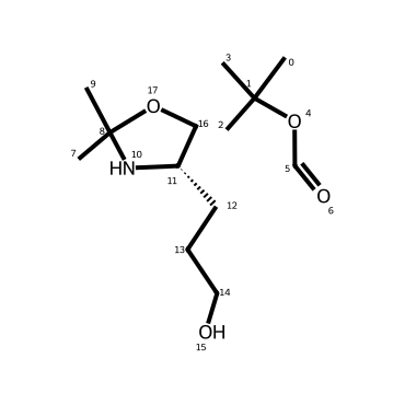 CC(C)(C)OC=O.CC1(C)N[C@@H](CCCO)CO1